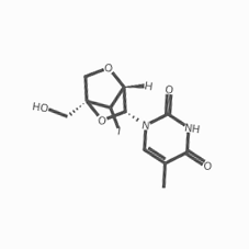 Cc1cn([C@@H]2O[C@@]3(CO)CO[C@H]2C3I)c(=O)[nH]c1=O